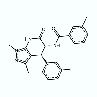 Cc1cccc(C(=O)N[C@H]2C(=O)Nc3c(c(C)nn3C)[C@@H]2c2cccc(F)c2)c1